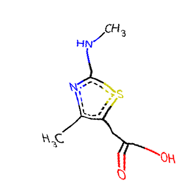 CNc1nc(C)c(C(=O)O)s1